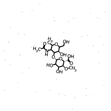 CO[C@H]1C(O)C(O)[C@H](OC2C(NC(C)=O)C(C)OC(CO)[C@H]2O)O[C@@H]1C(=O)O